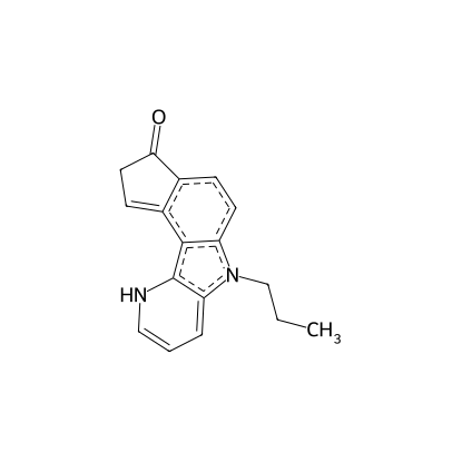 CCCn1c2c(c3c4c(ccc31)C(=O)CC=4)NC=CC=2